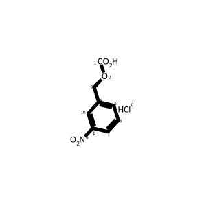 Cl.O=C(O)OCc1cccc([N+](=O)[O-])c1